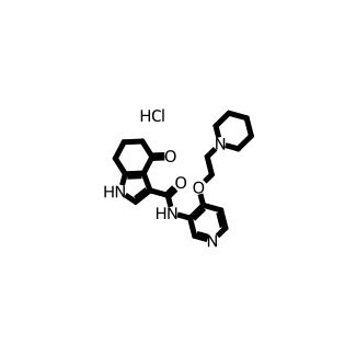 Cl.O=C(Nc1cnccc1OCCN1CCCCC1)c1c[nH]c2c1C(=O)CCC2